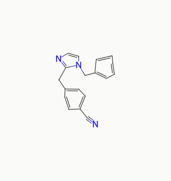 N#Cc1ccc(Cc2nccn2Cc2ccccc2)cc1